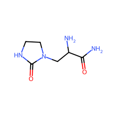 NC(=O)C(N)CN1CCNC1=O